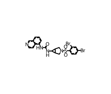 O=C(Nc1cccc2cnccc12)NC1C2CN(S(=O)(=O)c3ccc(Br)cc3Br)CC21